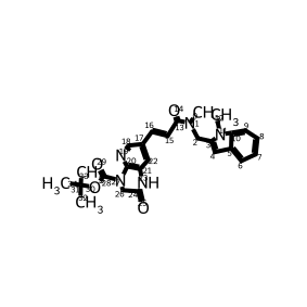 CN(Cc1cc2ccccc2n1C)C(=O)C=Cc1cnc2c(c1)NC(=O)CN2C(=O)OC(C)(C)C